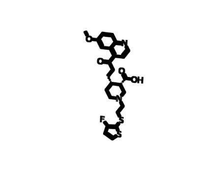 COc1ccc2nccc(C(=O)CC[C@H]3CCN(CCSc4sccc4F)C[C@H]3C(=O)O)c2c1